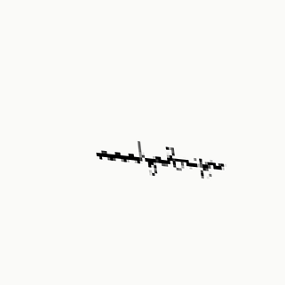 CCCCCCCNC(=O)CCC(=O)OCCOC(=O)CCC